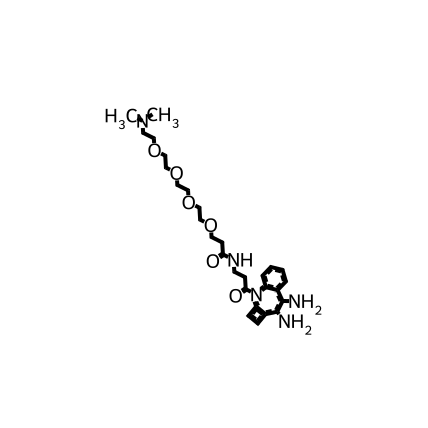 CN(C)CCOCCOCCOCCOCCC(=O)NCCC(=O)n1c2ccc=2c(N)c(N)c2ccccc21